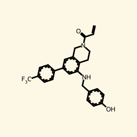 C=CC(=O)N1CCc2c(cc(-c3ccc(C(F)(F)F)cc3)cc2NCc2ccc(O)cc2)C1